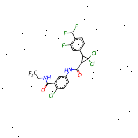 O=C(NCC(F)(F)F)c1cc(NC(=O)C2C(c3ccc(C(F)F)c(F)c3)C2(Cl)Cl)ccc1Cl